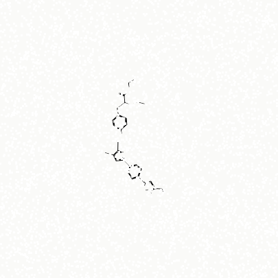 CCOC(=O)C(Cc1ccc(OCc2sc(-c3ccc(-c4cc(CO)no4)cc3)cc2C)cc1)OCC